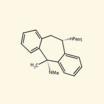 CCCCC[C@H]1Cc2ccccc2[C@@](C)(NC)c2ccccc21